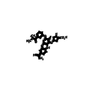 CN(C)C(=O)c1cccc(Oc2nc(Oc3cc(C(=N)N)ccc3O)c(F)c(OC3CNC(C(=O)O)C3)c2F)c1